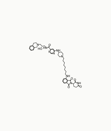 O=C1CCC(N2C(=O)c3cccc(NCCCCCCCCN4CCC(Nc5cc(C(=O)NC[C@H](O)CN6CCc7ccccc7C6)ncn5)CC4)c3C2=O)C(=O)N1